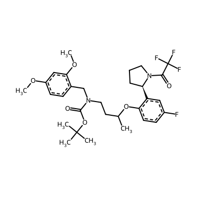 COc1ccc(CN(CCC(C)Oc2ccc(F)cc2[C@H]2CCCN2C(=O)C(F)(F)F)C(=O)OC(C)(C)C)c(OC)c1